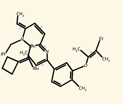 C\C=C(/C=C\C(=N\C(=C/C(C)=C1CCC1)c1ccc(C)c(O/C(C)=C(\C)CC)c1)C(C)CC)N(CCC(C)CC)CC(C)C